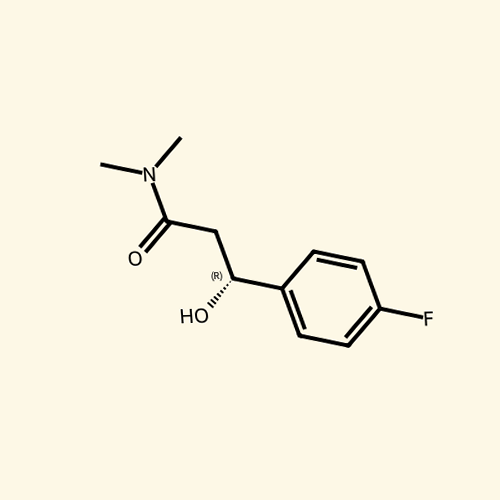 CN(C)C(=O)C[C@@H](O)c1ccc(F)cc1